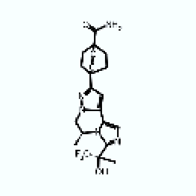 C[C@H]1Cn2nc(C34CCC(C(N)=O)(CC3)CC4)cc2-c2cnc([C@@](C)(O)C(F)(F)F)n21